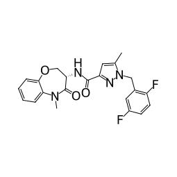 Cc1cc(C(=O)N[C@H]2COc3ccccc3N(C)C2=O)nn1Cc1cc(F)ccc1F